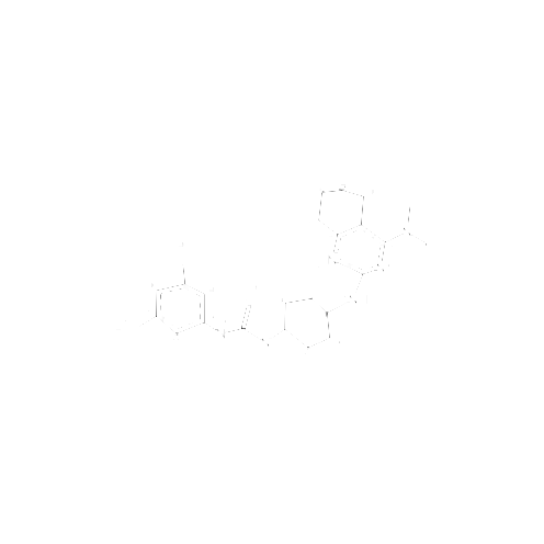 CN(C)c1nc(NC2CCC(NC(=O)Nc3cc(F)cc(C(F)(F)F)c3)CC2)nc2c1CCCC2